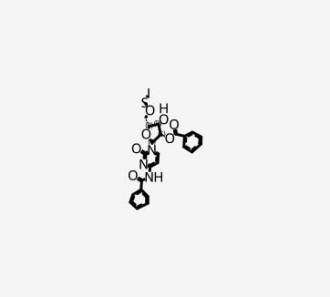 O=C(Nc1ccn([C@@H]2O[C@H](COSI)[C@@H](O)[C@@H]2OC(=O)c2ccccc2)c(=O)n1)c1ccccc1